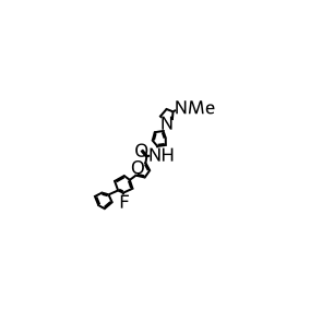 CNC1CCN(c2ccc(NC(=O)c3ccc(-c4ccc(-c5ccccc5)c(F)c4)o3)cc2)C1